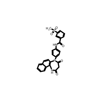 CS(=O)(=O)c1cccc(C(=O)Nc2ccc(N3C(=O)CC(=O)Nc4c3ccc3ccccc43)cc2)c1